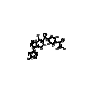 Cc1nsc(-c2nnc3n2CCN(C(=O)c2ccc(C(=O)N(C)C)cc2)C3C)n1